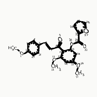 COc1ccc(/C=C/C(=O)c2c(OC)cc(OC)cc2OC(=O)c2ccco2)cc1